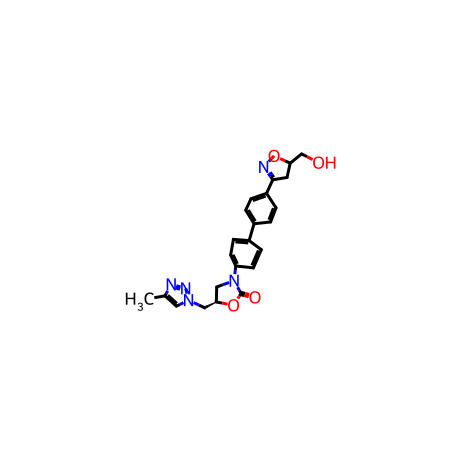 Cc1cn(C[C@H]2CN(c3ccc(-c4ccc(C5=NOC(CO)C5)cc4)cc3)C(=O)O2)nn1